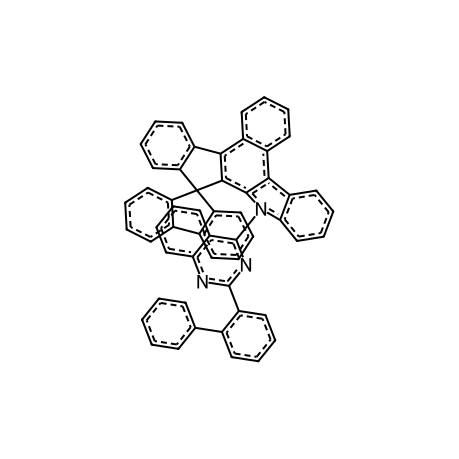 c1ccc(-c2ccccc2-c2nc(-n3c4ccccc4c4c5ccccc5c5c(c43)C3(c4ccccc4-c4ccccc43)c3ccccc3-5)c3ccccc3n2)cc1